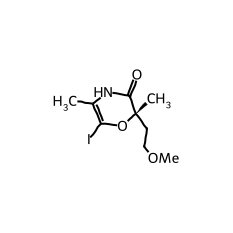 COCC[C@]1(C)OC(I)=C(C)NC1=O